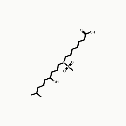 CC(C)CCCC(O)CCCN(CCCCCCC(=O)O)S(C)(=O)=O